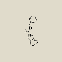 O=C(OCc1ccccc1)N1Cc2cccnc2C1